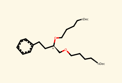 CCCCCCCCCCCCCCOC[C@@H](CCc1ccccc1)OCCCCCCCCCCCCCC